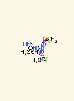 C=C(F)C(=O)N1CCN(c2nc(OC[C@H]3CC(F)(F)CN3C)nc3c2CCN(c2c(C)c(C)cc4[nH]ccc24)C3)CC1